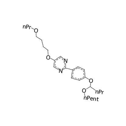 CCCCCOC(CCC)Oc1ccc(-c2ncc(OCCCCOCCC)cn2)cc1